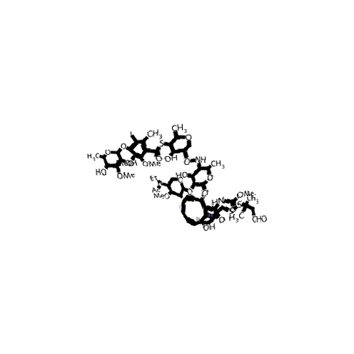 CCN(C(C)=O)C1COC(OC2C(OC3C#C/C=C\C#C[C@]4(O)CC(=O)C(NC(=O)OC)=C3/C4=C\CSSC(C)(C)CC=O)OC(C)C(NOC3COC(C)C(SC(=O)c4c(C)c(I)c(OC5OC(C)C(O)C(OC)C5O)c(OC)c4OC)C3O)C2O)CC1OC